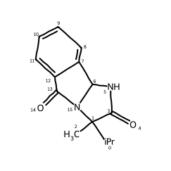 CC(C)C1(C)C(=O)NC2c3ccccc3C(=O)N21